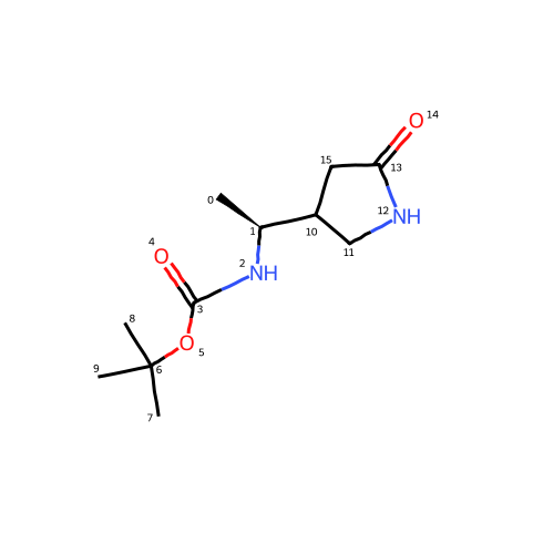 C[C@H](NC(=O)OC(C)(C)C)C1CNC(=O)C1